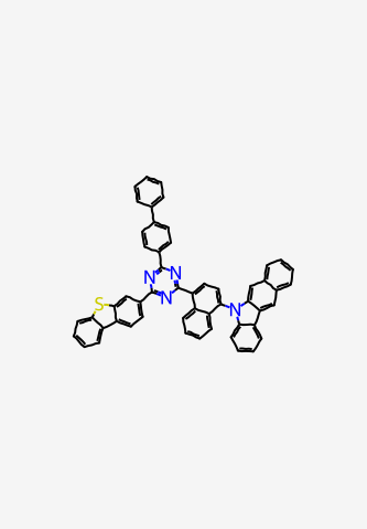 c1ccc(-c2ccc(-c3nc(-c4ccc5c(c4)sc4ccccc45)nc(-c4ccc(-n5c6ccccc6c6cc7ccccc7cc65)c5ccccc45)n3)cc2)cc1